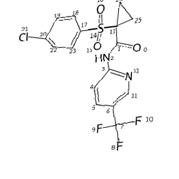 O=C(Nc1ccc(C(F)(F)F)cn1)C1(S(=O)(=O)c2ccc(Cl)cc2)CC1